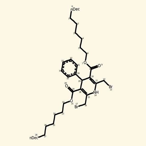 CCCCCCCCCCCCCCCCOC(=O)C1=C(CBr)NC(CBr)=C(C(=O)OCCCCCCCCCCCCCCCC)C1c1ccccc1